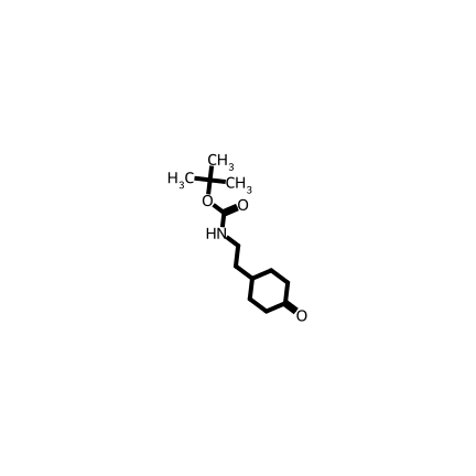 CC(C)(C)OC(=O)NCCC1CCC(=O)CC1